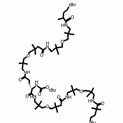 CC(CCC(C)(C)C)C(=O)NCC(C)(C)COCC(C)(C)CNC(=O)CC(C)(C)COCC(C)(C)CNC(=O)CC[C@H](NC(=O)OC(C)(C)C)C(=O)NCC(C)(C)COCC(C)(C)CC(=O)NCC(C)(C)COCC(C)(C)CNC(=O)C(C)(C)CCC(C)(C)C